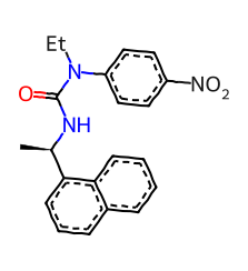 CCN(C(=O)N[C@H](C)c1cccc2ccccc12)c1ccc([N+](=O)[O-])cc1